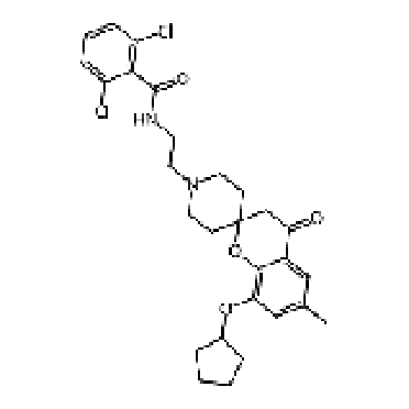 Cc1cc(OC2CCCC2)c2c(c1)C(=O)CC1(CCN(CCNC(=O)c3c(Cl)cccc3Cl)CC1)O2